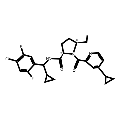 CC[C@@H]1CC[C@H](C(=O)NC(c2cc(F)c(Cl)cc2F)C2CC2)N1C(=O)c1cc(C2CC2)ccn1